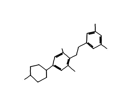 CCCC1CCC(c2cc(F)c(CCc3cc(F)cc(F)c3)c(F)c2)CC1